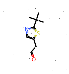 CC(C)(C)c1ncc(CC=O)s1